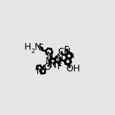 CCc1c(F)ccc2cc(O)cc(-c3ncc4c(N5CCCC(CSN)C5)nc(OCC56CCCN5CCC6)nc4c3F)c12